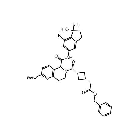 COc1ccc2c(n1)CCN(C(=O)[C@H]1C[C@@H](CC(=O)OCc3ccccc3)C1)C2C(=O)Nc1cc(F)c2c(c1)CCC2(C)C